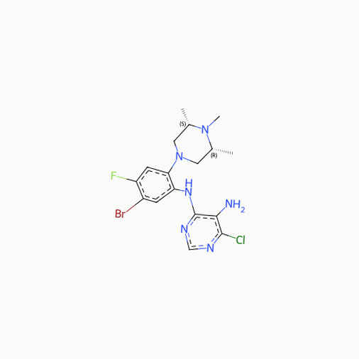 C[C@@H]1CN(c2cc(F)c(Br)cc2Nc2ncnc(Cl)c2N)C[C@H](C)N1C